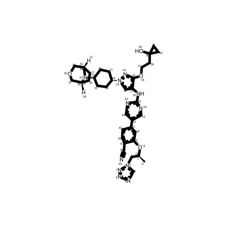 C[C@@H](Cn1cnnn1)Oc1cc(-c2cnc(Nc3cn([C@H]4CC[C@H](N5[C@@H]6CC[C@H]5COC6)CC4)nc3OCCC3(O)CC3)nc2)ccc1C#N